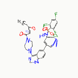 CC(=O)/C=C/C(=O)N1CCN(c2ncnc3ccc(-c4cnc(Cl)c(NS(=O)(=O)c5c(F)cc(F)cc5F)c4)cc23)CC1